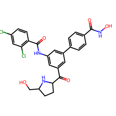 O=C(NO)c1ccc(-c2cc(NC(=O)c3ccc(Cl)cc3Cl)cc(C(=O)C3CCC(CO)N3)c2)cc1